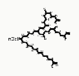 C=CC(C)CCCC(C)CCCC(C)CC(=CCCCCC(CCCCCCCC)CCCCCCCCCCCCC(=C)C)CCC(C)CCCC(C)CCCC(=C)C